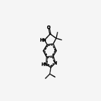 CC(C)c1nc2cc3c(cc2[nH]1)NC(=O)C3(C)C